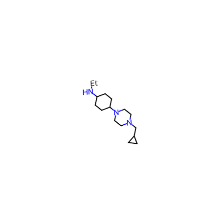 CCNC1CCC(N2CCN(CC3CC3)CC2)CC1